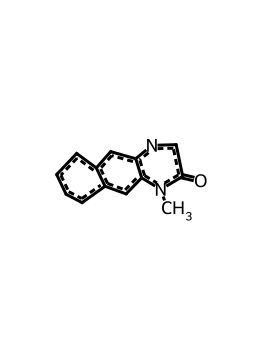 Cn1c(=O)cnc2cc3ccccc3cc21